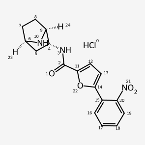 Cl.O=C(N[C@@H]1C[C@H]2CC[C@@H]1N2)c1ccc(-c2ccccc2[N+](=O)[O-])o1